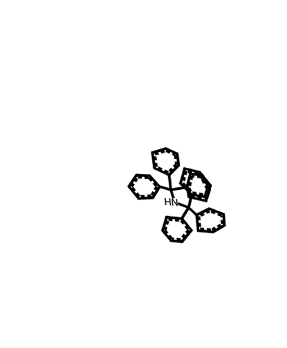 c1ccc(C(NC(c2ccccc2)(c2ccccc2)c2ccccc2)(c2ccccc2)c2ccccc2)cc1